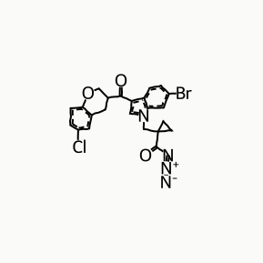 [N-]=[N+]=NC(=O)C1(Cn2cc(C(=O)C3COc4ccc(Cl)cc4C3)c3ccc(Br)cc32)CC1